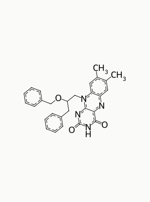 Cc1cc2nc3c(=O)[nH]c(=O)nc-3n(CC(Cc3ccccc3)OCc3ccccc3)c2cc1C